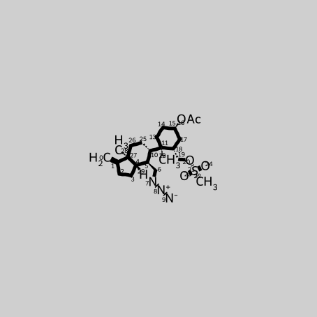 C=C1CC[C@H]2[C@H](CN=[N+]=[N-])[C@@H]([C@@]3(C)CC[C@H](OC(C)=O)C[C@@H]3COS(C)(=O)=O)CC[C@]12C